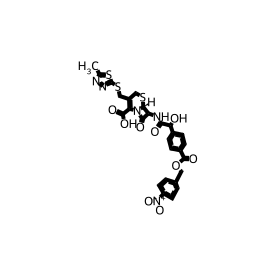 Cc1nnc(SCC2=C(C(=O)O)N3C(=O)C(NC(=O)C(O)c4ccc(C(=O)OCc5ccc([N+](=O)[O-])cc5)cc4)[C@@H]3SC2)s1